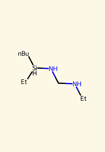 CCCC[SiH](CC)NCNCC